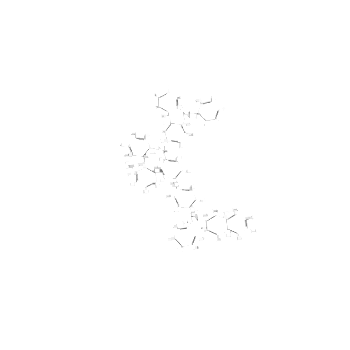 c1ccc(-n2c3ccccc3c3cc(N(c4ccc(-c5ccc(-n6c7ccccc7c7cc8ccccc8cc76)cc5)cc4)c4cccc5sc6ccccc6c45)ccc32)cc1